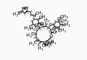 Bn1cc(CCN(C)[C@H]2C[C@@H](C)O[C@@H](O[C@@H]3[C@@H](C)[C@H](O[C@H]4C[C@@](C)(OC)[C@@H](N)[C@H](C)O4)[C@@H](C)C(=O)O[C@H](CC)[C@@](C)(O)[C@H](O)[C@@H](C)N(C)C[C@H](C)C[C@@]3(C)O)[C@@H]2O)nn1